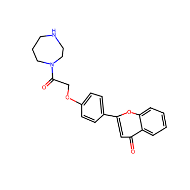 O=C(COc1ccc(-c2cc(=O)c3ccccc3o2)cc1)N1CCCNCC1